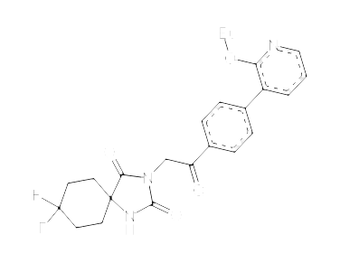 CCOc1ncccc1-c1ccc(C(=O)CN2C(=O)NC3(CCC(F)(F)CC3)C2=O)cc1